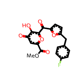 COC(=O)c1cc(=O)c(O)c(C(=O)c2ccc(Cc3ccc(F)cc3)o2)o1